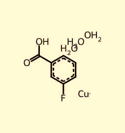 O.O.O.O=C(O)c1cccc(F)c1.[Cu]